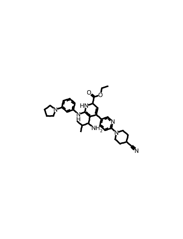 CCOC(=O)C1C=C(c2ccc(N3CCC(C#N)CC3)nc2)C(C(N)C(C)C)=C(Nc2cccc(N3CCCC3)c2)N1